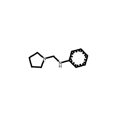 c1ccc(NCN2CCCC2)cc1